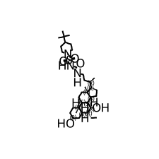 CC[C@H]1[C@@H](O)[C@@H]2[C@H](CC[C@]3(C)[C@@H]([C@H](C)CCNC(=O)NS(=O)(=O)N4CCC(C(C)(C)C)CC4)CC[C@@H]23)[C@@]2(C)CC[C@@H](O)C[C@@H]12